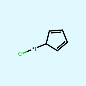 [Cl][Pt][CH]1C=CC=C1